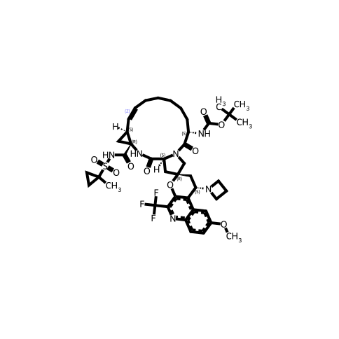 COc1ccc2nc(C(F)(F)F)c3c(c2c1)[C@@H](N1CCC1)C[C@]1(C[C@H]2C(=O)N[C@]4(C(=O)NS(=O)(=O)C5(C)CC5)C[C@H]4/C=C\CCCCC[C@H](NC(=O)OC(C)(C)C)C(=O)N2C1)O3